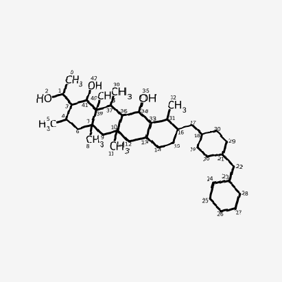 CC(O)C1C(C)CC2(C)CC3(C)CC4CCC(CC5CCC(CC6CCCCC6)CC5)C(C)C4C(O)C3C(C)C2(C)C1O